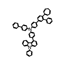 C1=CCC=CC(c2ccc(-c3ccc(N(c4ccc(-c5ccccc5)cc4)c4ccc(-c5cccc6c5c5ccccc5n6-c5ccccc5)cc4)cc3)cc2-c2ccccc2)=C1